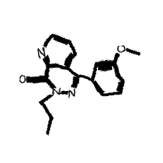 CCCn1nc(-c2cccc(OC)c2)c2cccnc2c1=O